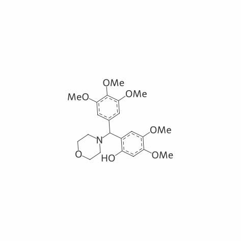 COc1cc(O)c(C(c2cc(OC)c(OC)c(OC)c2)N2CCOCC2)cc1OC